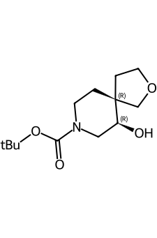 CC(C)(C)OC(=O)N1CC[C@]2(CCOC2)[C@@H](O)C1